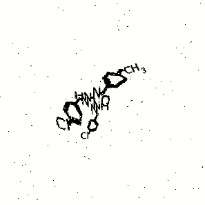 CCc1ccc(C(=O)N=C(NN=Cc2ccc(Cl)cc2)NN=Cc2ccc(Cl)cc2)cc1